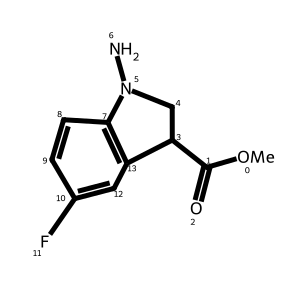 COC(=O)C1CN(N)c2ccc(F)cc21